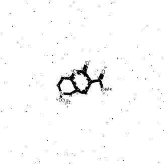 CCOC(=O)N1CCc2oc(=O)c(C(=O)OC)cc2C1